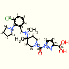 CN(Cc1cccc(Cl)c1N1CCCC1)C1(C)CCN(C(=O)n2ccc(C(O)O)n2)CC1